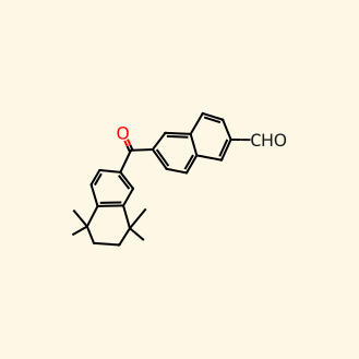 CC1(C)CCC(C)(C)c2cc(C(=O)c3ccc4cc(C=O)ccc4c3)ccc21